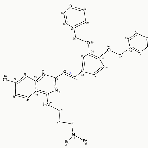 CCN(CC)CCCNc1nc(/C=C/c2ccc(OCc3ccccc3)c(OCc3ccccc3)c2)nc2cc(Cl)ccc12